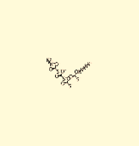 O=C([O-])[S-].O=C([O-])[S-].O=C([O-])[S-].O=C([O-])[S-].[K+].[K+].[K+].[K+].[K+].[K+].[K+].[K+]